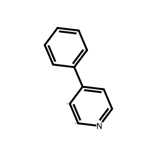 [c]1[c]c(-c2ccccc2)ccn1